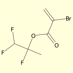 C=C(Br)C(=O)OC(C)(F)C(F)F